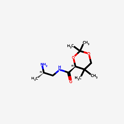 C[C@H](N)CNC(=O)[C@H]1OC(C)(C)OCC1(C)C